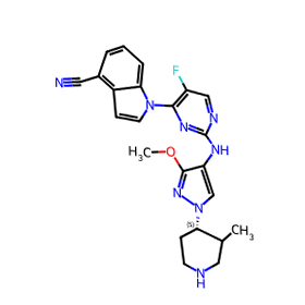 COc1nn([C@H]2CCNCC2C)cc1Nc1ncc(F)c(-n2ccc3c(C#N)cccc32)n1